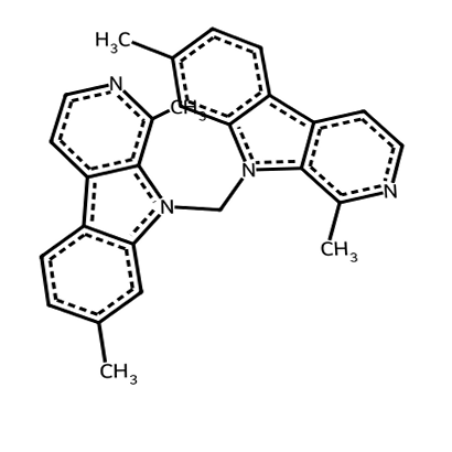 Cc1ccc2c3ccnc(C)c3n(Cn3c4cc(C)ccc4c4ccnc(C)c43)c2c1